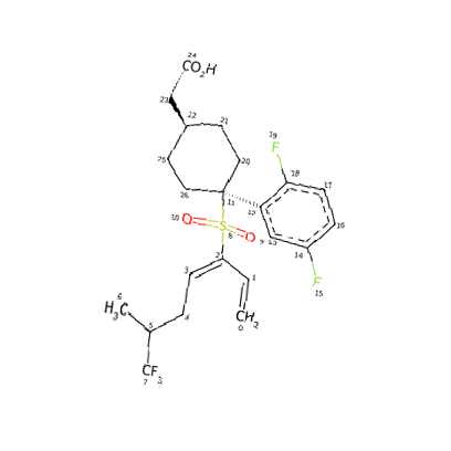 C=C/C(=C\CC(C)C(F)(F)F)S(=O)(=O)[C@]1(c2cc(F)ccc2F)CC[C@H](CC(=O)O)CC1